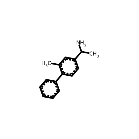 Cc1cc(C(C)N)ccc1-c1ccccc1